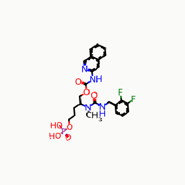 CN(C(=O)NCc1cccc(F)c1F)C(CCCOP(=O)(O)O)COC(=O)Nc1cc2ccccc2cn1